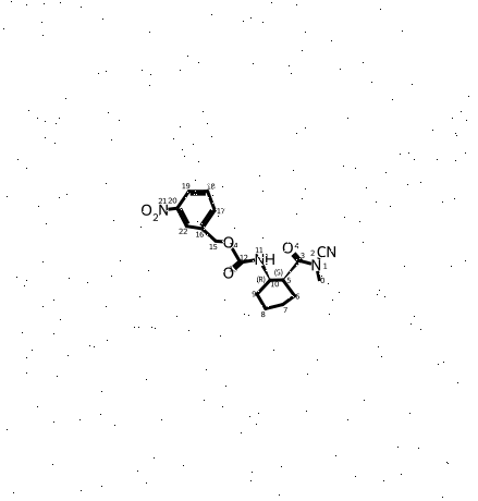 CN(C#N)C(=O)[C@H]1CCCC[C@H]1NC(=O)OCc1cccc([N+](=O)[O-])c1